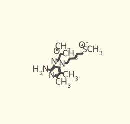 COC(C)c1nc2c(N)nc(C)c(C)c2n1CCCCC[S+](C)[O-]